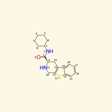 O=C(NC1CCCCC1)[C@H]1Cc2c(sc3ccccc23)CN1